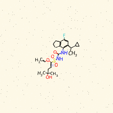 C=CO/C(=C\CC(C)(C)O)S(=O)(=O)NC(=O)Nc1c(C(C)C2CC2)cc(F)c2c1CCC2